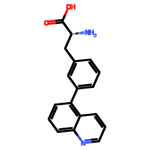 N[C@H](Cc1cccc(-c2cccc3ncccc23)c1)C(=O)O